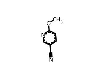 COc1ccc(C#N)[c]n1